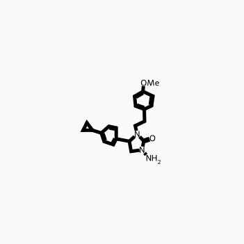 COc1ccc(CCN2C(=O)N(N)CC2c2ccc(C3CC3)cc2)cc1